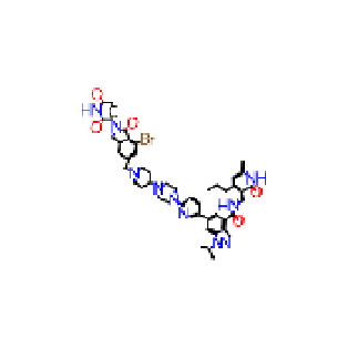 CCCc1cc(C)[nH]c(=O)c1CNC(=O)c1cc(-c2ccc(N3CCN(C4CCN(Cc5cc(Br)c6c(c5)CN(C5CCC(=O)NC5=O)C6=O)CC4)CC3)nc2)cc2c1cnn2C(C)C